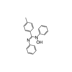 Cc1ccc(C(=Nc2ccccc2)N(O)c2ccccc2)cc1